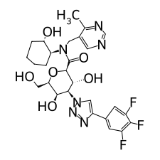 Cc1ncncc1CN(C(=O)[C@@H]1O[C@H](CO)[C@H](O)[C@H](n2cc(-c3cc(F)c(F)c(F)c3)nn2)[C@H]1O)[C@H]1CCCC[C@@H]1O